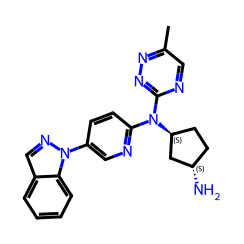 Cc1cnc(N(c2ccc(-n3ncc4ccccc43)cn2)[C@H]2CC[C@H](N)C2)nn1